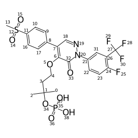 CC(C)(CCOc1c(-c2ccc(S(C)(=O)=O)cc2)cnn(-c2ccc(F)c(C(F)(F)F)c2)c1=O)OP(=O)(O)O